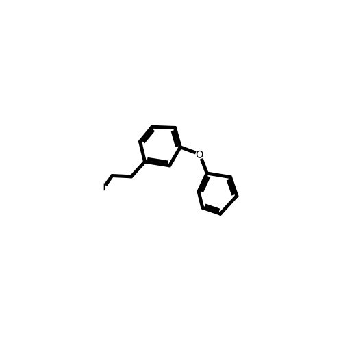 ICCc1cccc(Oc2ccccc2)c1